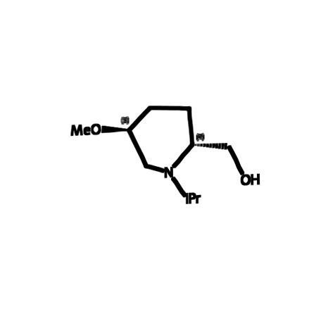 CO[C@H]1CC[C@H](CO)N(C(C)C)C1